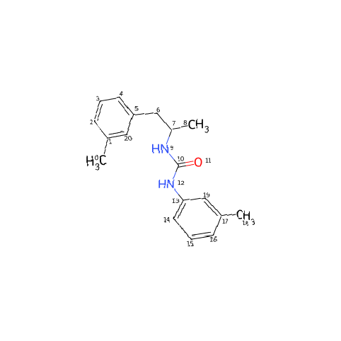 Cc1cccc(CC(C)NC(=O)Nc2cccc(C)c2)c1